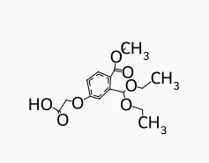 CCOC(OCC)c1cc(OCC(=O)O)ccc1C(=O)OC